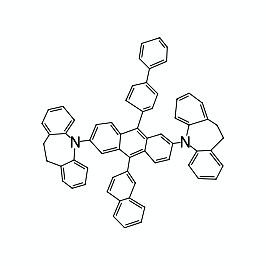 c1ccc(-c2ccc(-c3c4ccc(N5c6ccccc6CCc6ccccc65)cc4c(-c4ccc5ccccc5c4)c4ccc(N5c6ccccc6CCc6ccccc65)cc34)cc2)cc1